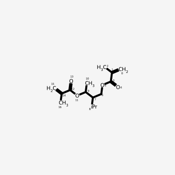 C=C(C)C(=O)OCC(C(C)C)C(C)OC(=O)C(=C)C